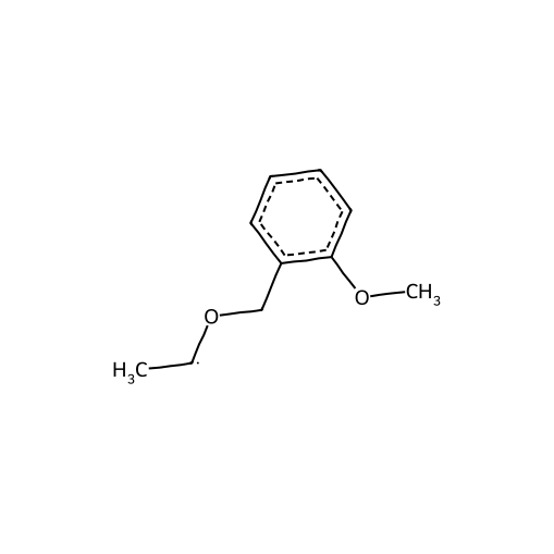 C[CH]OCc1ccccc1OC